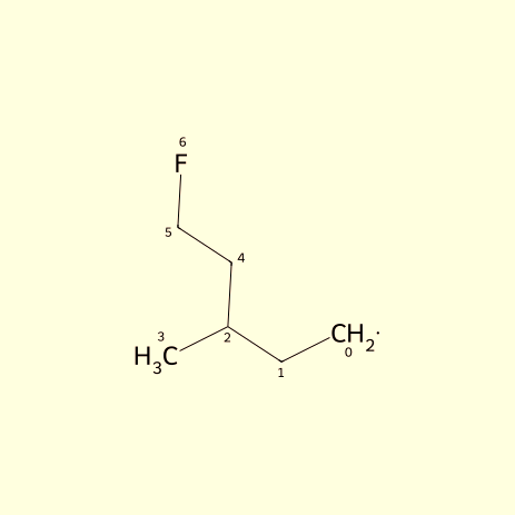 [CH2]CC(C)CCF